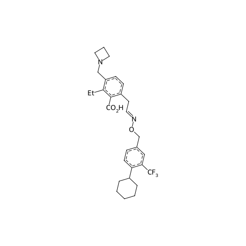 CCc1c(CN2CCC2)ccc(C/C=N/OCc2ccc(C3CCCCC3)c(C(F)(F)F)c2)c1C(=O)O